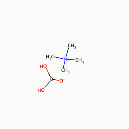 C[N+](C)(C)C.[O-]B(O)O